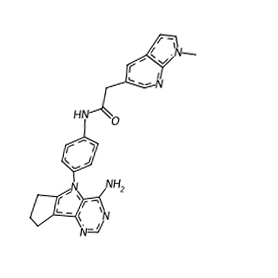 Cn1ccc2cc(CC(=O)Nc3ccc(-n4c5c(c6ncnc(N)c64)CCC5)cc3)cnc21